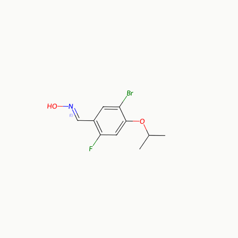 CC(C)Oc1cc(F)c(/C=N/O)cc1Br